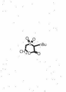 C.CCCCC1C(=O)OCCS1(=O)=O